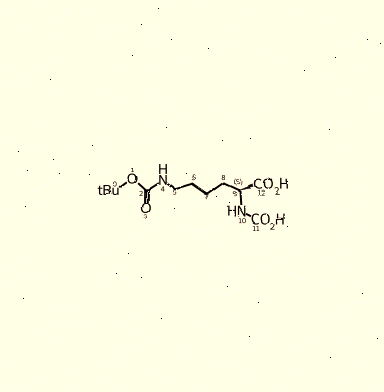 CC(C)(C)OC(=O)NCCCC[C@H](NC(=O)O)C(=O)O